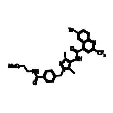 COCCNC(=O)c1ccc(Cn2nc(C)c(NC(=O)c3cc(C(F)(F)F)nc4ccc(Br)cc34)c2C)cc1